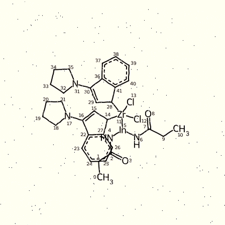 CCC(=O)[NH][In]([NH]C(=O)CC)[Zr]([Cl])([Cl])([CH]1C=C(N2CCCC2)c2ccccc21)[CH]1C=C(N2CCCC2)c2ccccc21